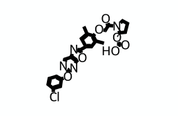 Cc1cc(-c2nc3cnc(Oc4cccc(Cl)c4)nc3o2)cc(C)c1OCC(=O)N1CCC[C@@H]1OC(=O)O